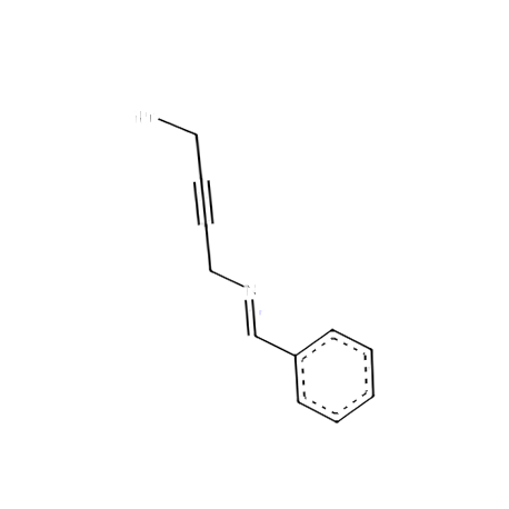 CC(C)CC#CC/N=C/c1ccccc1